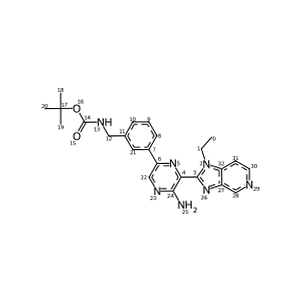 CCn1c(-c2nc(-c3cccc(CNC(=O)OC(C)(C)C)c3)cnc2N)nc2cnccc21